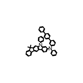 CC1(C)c2ccccc2-c2cc3c4ccc(N(c5ccccc5)c5cccc(-c6ccc(-c7ccccc7)cc6)c5)cc4n(-c4ccccc4)c3cc21